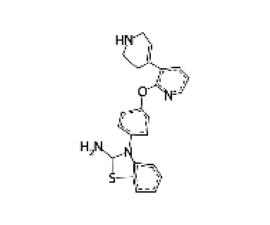 NC1Sc2ccccc2N1c1ccc(Oc2ncccc2C2=CCNCC2)cc1